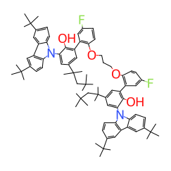 CC(C)(C)CC(C)(C)c1cc(-c2cc(F)ccc2OCCCOc2ccc(F)cc2-c2cc(C(C)(C)CC(C)(C)C)cc(-n3c4ccc(C(C)(C)C)cc4c4cc(C(C)(C)C)ccc43)c2O)c(O)c(-n2c3ccc(C(C)(C)C)cc3c3cc(C(C)(C)C)ccc32)c1